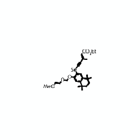 CCOC(=O)/C=C(\C)C#C[Se]c1cc2c(cc1OCOCCOC)C(C)(C)CCC2(C)C